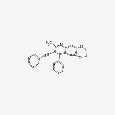 FC(F)(F)c1nc2cc3c(cc2c(-c2ccccc2)c1C#Cc1ccccc1)OCCO3